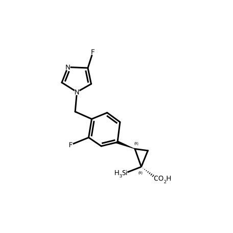 O=C(O)[C@@]1([SiH3])C[C@@H]1c1ccc(Cn2cnc(F)c2)c(F)c1